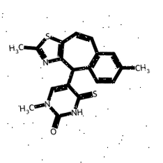 Cc1ccc2c(c1)C=Cc1sc(C)nc1C2c1cn(C)c(=O)[nH]c1=S